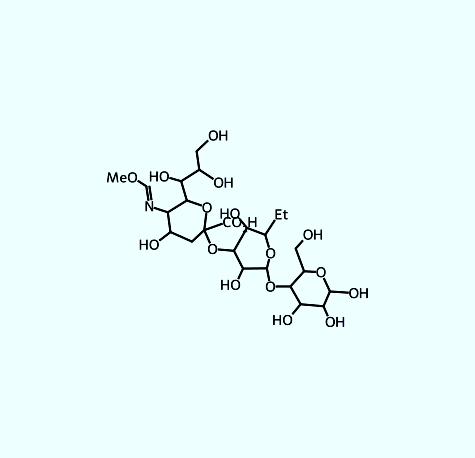 CCC1OC(OC2C(CO)OC(O)C(O)C2O)C(O)C(OC2(C(=O)O)CC(O)C(N=COC)C(C(O)C(O)CO)O2)C1O